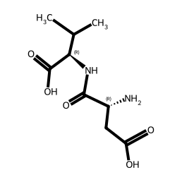 CC(C)[C@@H](NC(=O)[C@H](N)CC(=O)O)C(=O)O